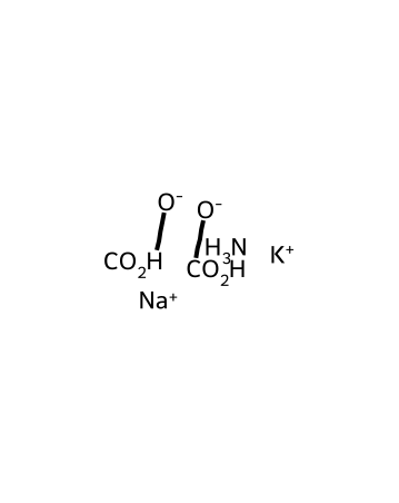 N.O=C([O-])O.O=C([O-])O.[K+].[Na+]